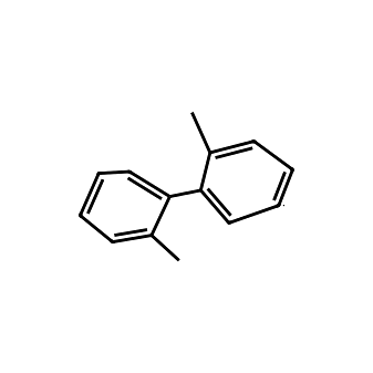 Cc1cc[c]cc1-c1ccccc1C